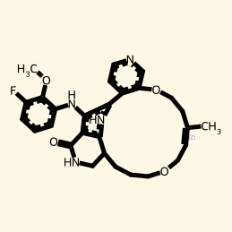 COc1c(F)cccc1Nc1c2[nH]c3c1C(=O)NCC3CCCOC/C=C(/C)CCOc1cnccc1-2